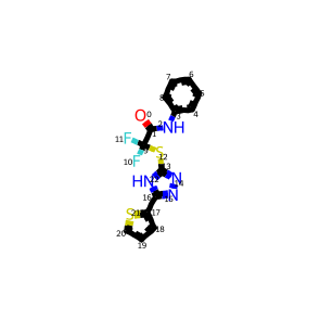 O=C(Nc1ccccc1)C(F)(F)Sc1nnc(-c2cccs2)[nH]1